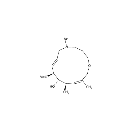 CO[C@H]1/C=C/CN(C(C)=O)CCCOC/C(C)=C\[C@@H](C)[C@@H]1O